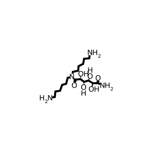 NCCCCCCN(CCCCCCN)C(=O)[C@H](O)[C@@H](O)[C@H](O)[C@H](O)C(N)=O